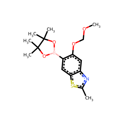 COCOc1cc2nc(C)sc2cc1B1OC(C)(C)C(C)(C)O1